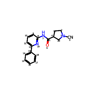 N#CN1CCC(C(=O)Nc2cccc(-c3ccccc3)n2)C1